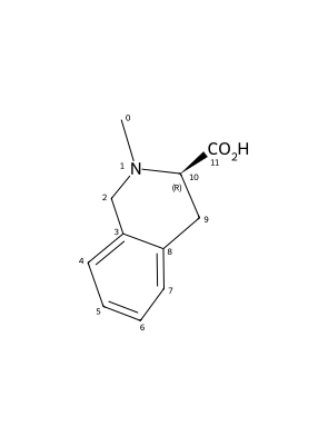 CN1Cc2ccccc2C[C@@H]1C(=O)O